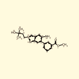 COC(=O)c1cccc(-c2cc3nn(CCC(C)(C)O)cc3cc2N)c1